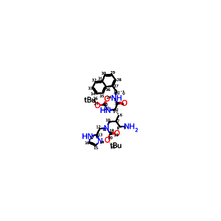 C[C@H](NC(=O)[C@H](CC(CN)CN(Cc1ncc[nH]1)C(=O)OC(C)(C)C)NC(=O)OC(C)(C)C)c1cccc2ccccc12